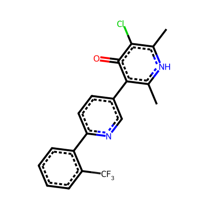 Cc1[nH]c(C)c(-c2ccc(-c3ccccc3C(F)(F)F)nc2)c(=O)c1Cl